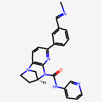 C/N=C/c1cccc(-c2ccc3c(n2)N(C(=O)Nc2cccnc2)[C@H]2CCN3C2)c1